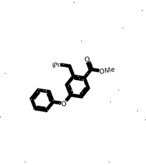 COC(=O)c1ccc(Oc2ccccc2)cc1CC(C)C